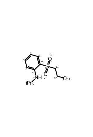 CC(C)Nc1ccccc1S(=O)(=O)CC[O]